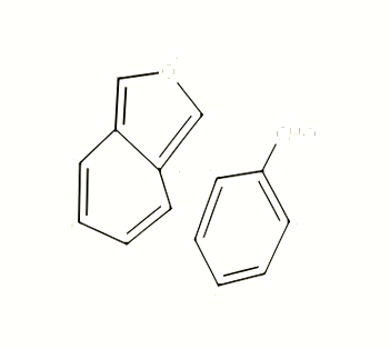 O=Cc1ccccc1.c1ccc2cocc2c1